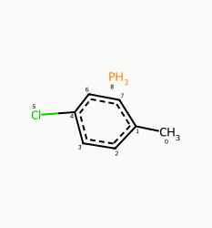 Cc1ccc(Cl)cc1.P